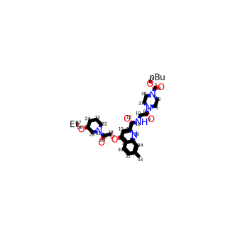 CCCCOC(=O)N1CCN(C(=O)CNC(=O)c2cc(OCC(=O)N3CCCC(OCC)C3)c3ccc(C)cc3n2)CC1